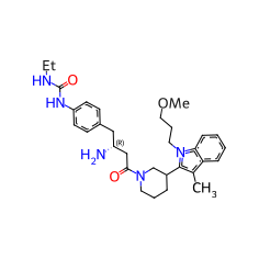 CCNC(=O)Nc1ccc(C[C@@H](N)CC(=O)N2CCCC(c3c(C)c4ccccc4n3CCCOC)C2)cc1